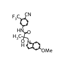 COc1ccc2c(ccn2C[C@](C)(O)C(=O)Nc2ccc(C#N)c(C(F)(F)F)c2)c1